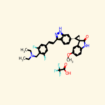 CCN(CC)Cc1c(F)cc(/C=C/c2n[nH]c3cc([C@@H]4C[C@@]45C(=O)Nc4ccc(OC)cc45)ccc23)cc1F.O=C(O)C(F)(F)F